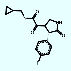 O=C(NCC1CC1)C(=O)C1CNC(=O)[C@@H]1c1ccc(F)cc1